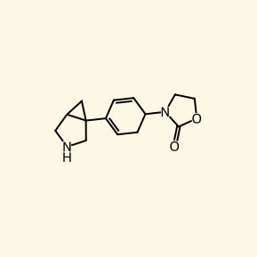 O=C1OCCN1C1C=CC(C23CNCC2C3)=CC1